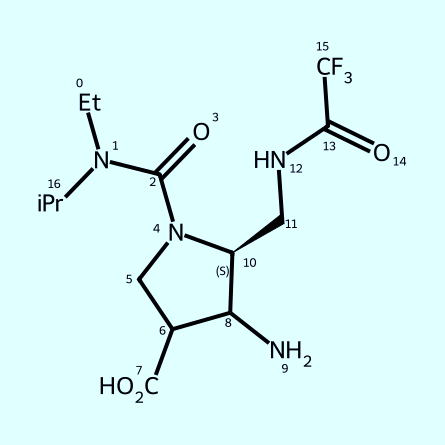 CCN(C(=O)N1CC(C(=O)O)C(N)[C@@H]1CNC(=O)C(F)(F)F)C(C)C